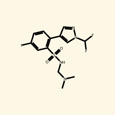 CN(C)CNS(=O)(=O)c1cc(I)ccc1-c1cnn(C(F)F)c1